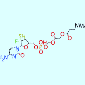 CNCCC(=O)OCC(=O)OCOP(=O)(O)OCC1CC(F)(S)C(n2ccc(N)nc2=O)O1